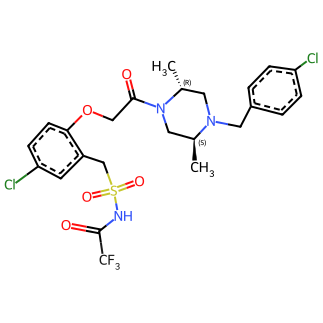 C[C@@H]1CN(Cc2ccc(Cl)cc2)[C@@H](C)CN1C(=O)COc1ccc(Cl)cc1CS(=O)(=O)NC(=O)C(F)(F)F